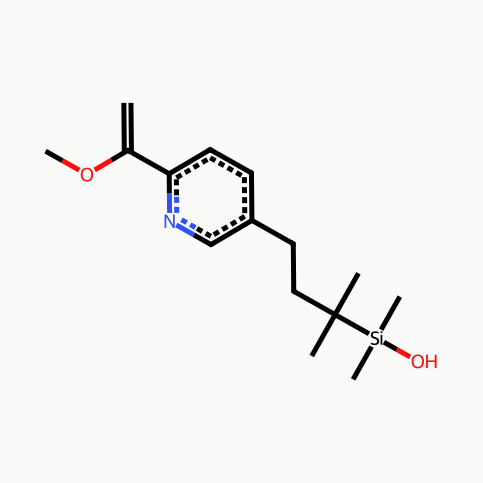 C=C(OC)c1ccc(CCC(C)(C)[Si](C)(C)O)cn1